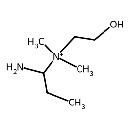 CCC(N)[N+](C)(C)CCO